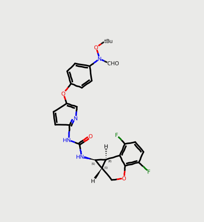 CC(C)(C)ON(C=O)c1ccc(Oc2ccc(NC(=O)N[C@@H]3[C@H]4COc5c(F)ccc(F)c5[C@@H]43)nc2)cc1